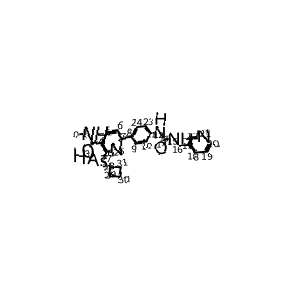 CNC(=O)c1ccc(-c2ccc(NC(=O)NCc3cccnc3)cc2)nc1[AsH]C1CCC1